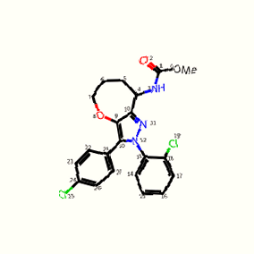 COC(=O)NC1CCCOc2c1nn(-c1ccccc1Cl)c2-c1ccc(Cl)cc1